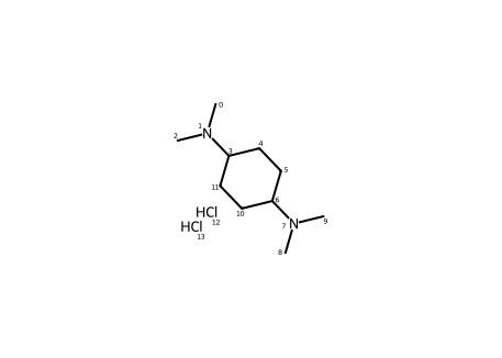 CN(C)C1CCC(N(C)C)CC1.Cl.Cl